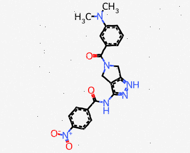 CN(C)c1cccc(C(=O)N2Cc3[nH]nc(NC(=O)c4ccc([N+](=O)[O-])cc4)c3C2)c1